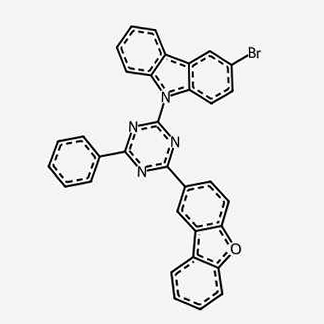 Brc1ccc2c(c1)c1ccccc1n2-c1nc(-c2ccccc2)nc(-c2ccc3oc4ccccc4c3c2)n1